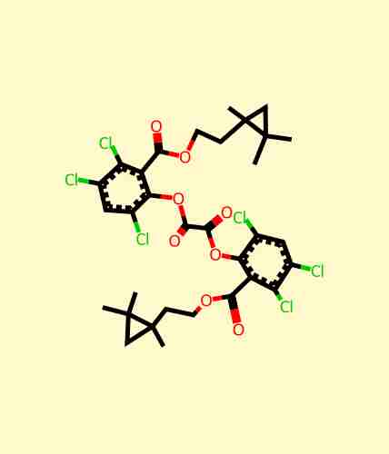 CC1(C)CC1(C)CCOC(=O)c1c(Cl)c(Cl)cc(Cl)c1OC(=O)C(=O)Oc1c(Cl)cc(Cl)c(Cl)c1C(=O)OCCC1(C)CC1(C)C